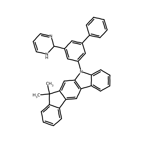 CC1(C)c2ccccc2-c2cc3c4ccccc4n(-c4cc(-c5ccccc5)cc(C5N=CC=CN5)c4)c3cc21